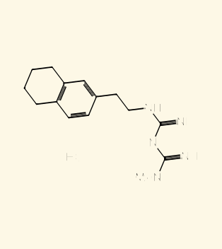 CNC(=N)NC(=N)NCCc1ccc2c(c1)CCCC2.Cl